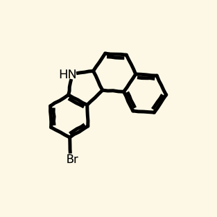 Brc1ccc2c(c1)C1c3ccccc3C=CC1N2